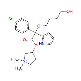 C[N+]1(C)CCC(OC(=O)C(OCCCCO)(c2ccccc2)c2ccc[nH]2)C1.[Br-]